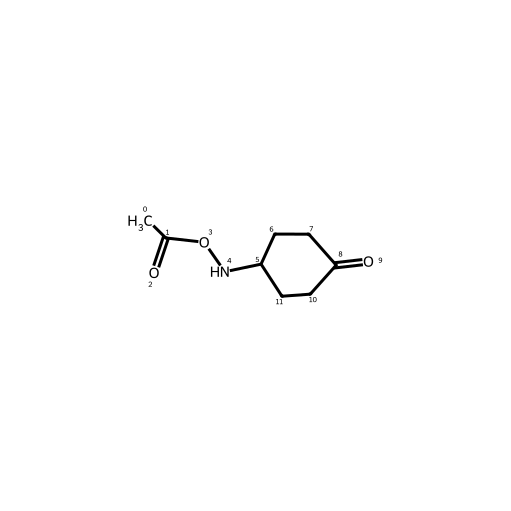 CC(=O)ONC1CCC(=O)CC1